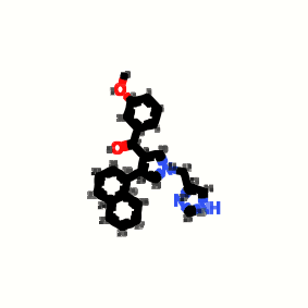 COc1cccc(C(=O)c2cn(Cc3c[nH]cn3)cc2-c2cccc3ccccc23)c1